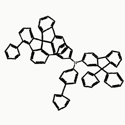 c1ccc(-c2ccc(N(c3cccc(-c4cccc5c4C4(c6ccccc6-c6ccccc64)c4cccc(-c6ccccc6)c4-5)c3)c3ccc4c(c3)C(c3ccccc3)(c3ccccc3)c3ccccc3-4)cc2)cc1